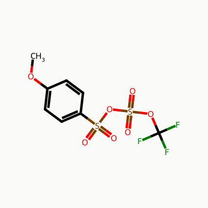 COc1ccc(S(=O)(=O)OS(=O)(=O)OC(F)(F)F)cc1